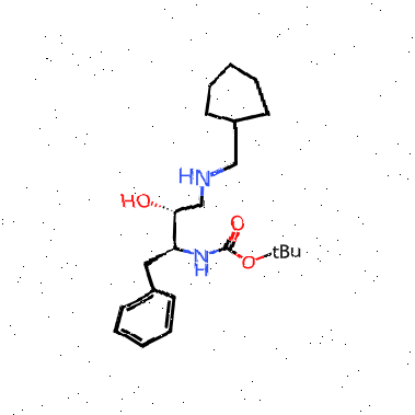 CC(C)(C)OC(=O)N[C@@H](Cc1ccccc1)[C@H](O)CNCC1CCCCC1